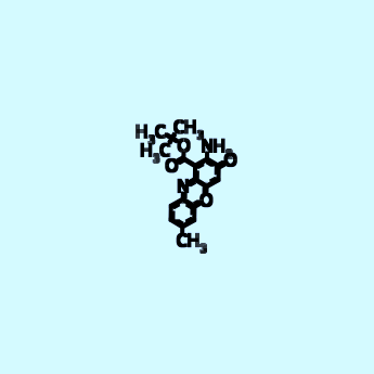 Cc1ccc2nc3c(C(=O)OC(C)(C)C)c(N)c(=O)cc-3oc2c1